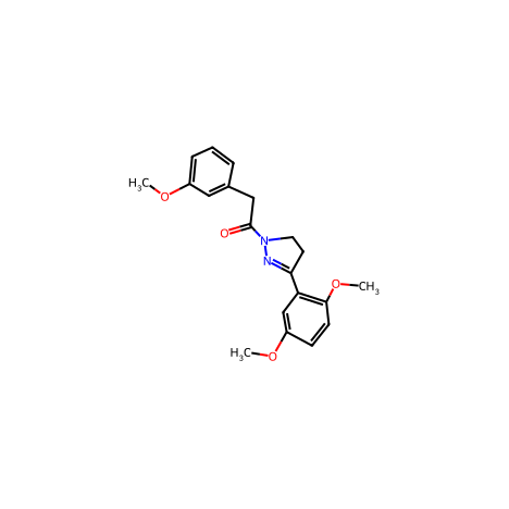 COc1cccc(CC(=O)N2CCC(c3cc(OC)ccc3OC)=N2)c1